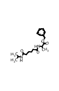 CC(C)NC(=O)CCCCC(=O)NC(C)C(=O)OCc1ccccc1